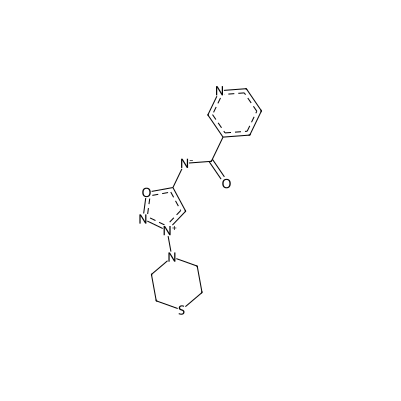 O=C([N-]c1c[n+](N2CCSCC2)no1)c1cccnc1